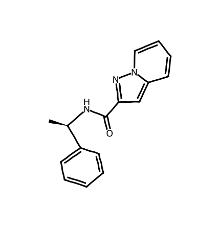 C[C@@H](NC(=O)c1cc2ccccn2n1)c1ccccc1